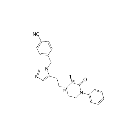 C[C@H]1C(=O)N(c2ccccc2)CC[C@@H]1CCc1cncn1Cc1ccc(C#N)cc1